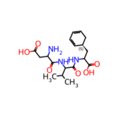 CC(C)C(NC(=O)C(N)CC(=O)O)C(=O)NC(C[C@H]1C=CC=CC1)C(=O)O